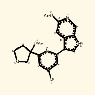 COC1(c2cc(C#N)cc(-c3c[nH]c4cnc(NC(C)=O)cc34)n2)CCOC1